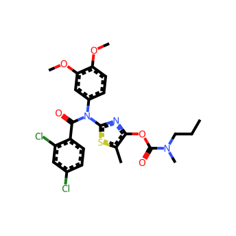 CCCN(C)C(=O)Oc1nc(N(C(=O)c2ccc(Cl)cc2Cl)c2ccc(OC)c(OC)c2)sc1C